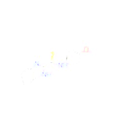 COc1ccc(NC(=S)c2nc3ccccc3[nH]2)cc1